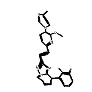 COc1nc(C=Cc2nc3n(n2)CCCC3c2cccc(F)c2C)ccc1-n1cnc(C)c1